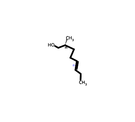 CC/C=C/CC[C@@H](C)CO